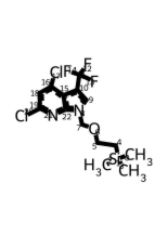 C[Si](C)(C)CCOCn1cc(C(F)(F)F)c2c(Cl)cc(Cl)nc21